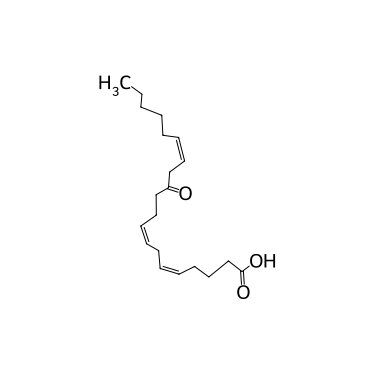 CCCCC/C=C\CC(=O)CC/C=C\C/C=C\CCCC(=O)O